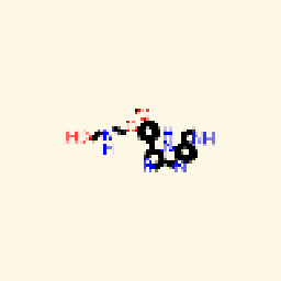 COc1ccc(-c2cncc(C#N)c2Nc2cccc3[nH]ccc23)cc1OCCNCCO